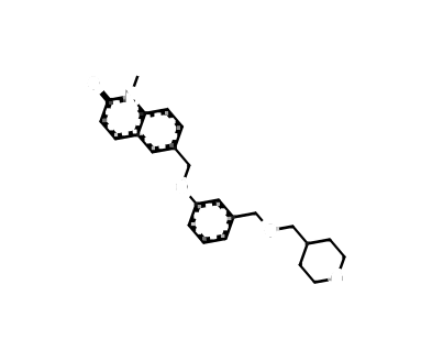 Cn1c(=O)ccc2cc(COc3cccc(COCC4CCOCC4)c3)ccc21